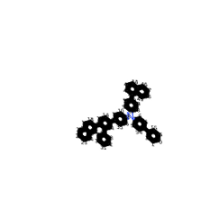 c1ccc(-c2ccc(N(c3ccc(-c4ccc(-c5ccc6ccccc6c5)c(-c5ccccc5)c4)cc3)c3ccc(-c4cccc5ccccc45)cc3)cc2)cc1